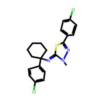 Cn1nc(-c2ccc(Cl)cc2)sc1=NC1(c2ccc(Cl)cc2)CCCCC1